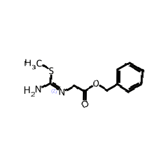 CS/C(N)=N\CC(=O)OCc1ccccc1